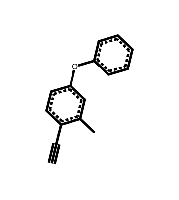 C#Cc1ccc(Oc2ccccc2)cc1C